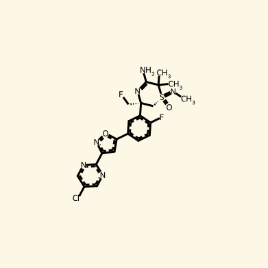 CN=[S@]1(=O)C[C@@](CF)(c2cc(-c3cc(-c4ncc(Cl)cn4)no3)ccc2F)N=C(N)C1(C)C